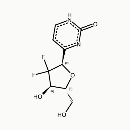 O=c1nc([C@H]2O[C@H](CO)[C@@H](O)C2(F)F)cc[nH]1